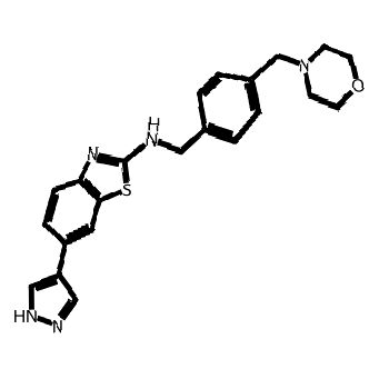 c1cc(CN2CCOCC2)ccc1CNc1nc2ccc(-c3cn[nH]c3)cc2s1